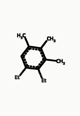 CCc1cc(C)c(C)c(C)c1CC